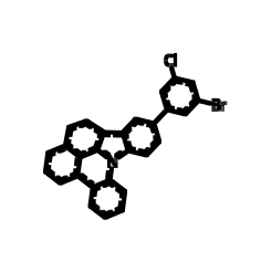 Clc1cc(Br)cc(-c2ccc3c(c2)c2ccc4cccc5c6ccccc6n3c2c45)c1